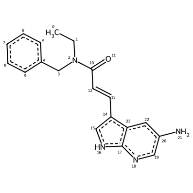 CCN(Cc1ccccc1)C(=O)/C=C/c1c[nH]c2ncc(N)cc12